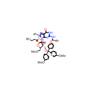 COC[C@H]1O[C@H]2[C@H](n3cnc4c(=O)[nH]c(NC(=O)C(C)C)nc43)O[C@]1(COC(c1ccccc1)(c1ccc(OC)cc1)c1ccc(OC)cc1)[C@H]2OP(OCCC#N)N(C(C)C)C(C)C